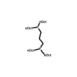 CCCCCCCCP(CCCCCCCC)CCCP(CCCCCCCC)CCCCCCCC